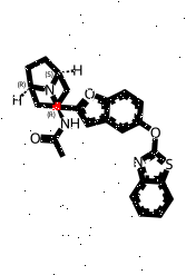 CC(=O)N[C@H]1C[C@H]2CC[C@@H](C1)N2Cc1cc2cc(Oc3nc4ccccc4s3)ccc2o1